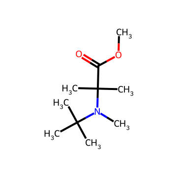 COC(=O)C(C)(C)N(C)C(C)(C)C